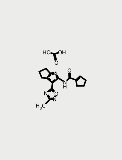 Cc1noc(-c2c(NC(=O)C3=CCCC3)sc3c2CCC3)n1.O=C(O)O